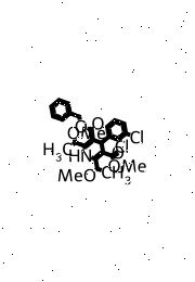 COC(=O)C1=C(C(C)OC)NC(C(C)OC)=C(C(=O)OCc2ccccc2)C1c1cccc(Cl)c1Cl